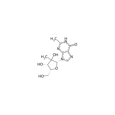 Cc1nc2c(ncn2[C@@H]2O[C@H](CO)[C@H](O)C2(C)O)c(=O)[nH]1